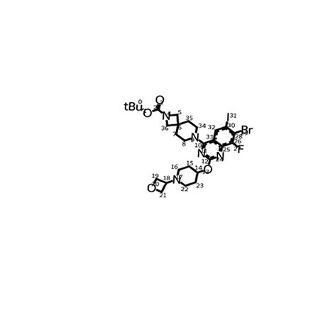 CC(C)(C)OC(=O)N1CC2(CCN(c3nc(OC4CCN(C5COC5)CC4)nc4c(F)c(Br)c(I)cc34)CC2)C1